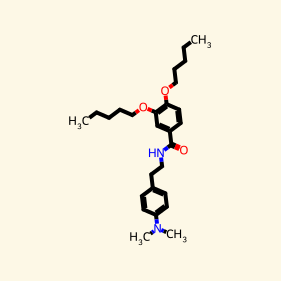 CCCCCOc1ccc(C(=O)NCCc2ccc(N(C)C)cc2)cc1OCCCCC